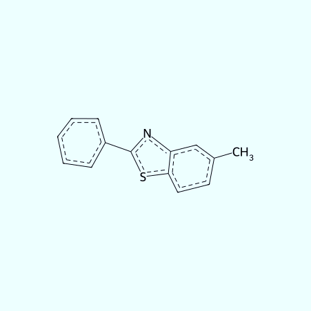 Cc1ccc2sc(-c3ccccc3)nc2c1